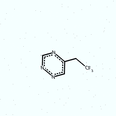 FC(F)(F)Cc1cnn[c]n1